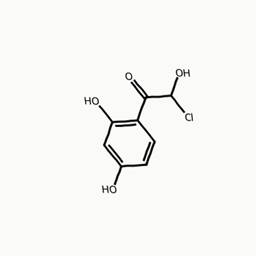 O=C(c1ccc(O)cc1O)C(O)Cl